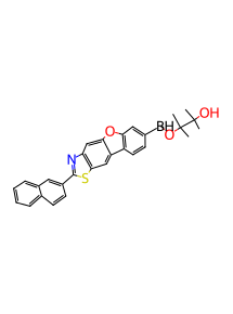 CC(C)(O)C(C)(C)OBc1ccc2c(c1)oc1cc3nc(-c4ccc5ccccc5c4)sc3cc12